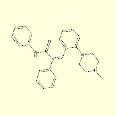 CN1CCN(c2ccccc2C=C(C(=O)Nc2ccccc2)c2ccccc2)CC1